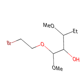 CCC(OC)C(O)C(OC)OCCBr